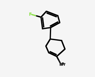 CCCC1=CCC(c2cccc(F)c2)CC1